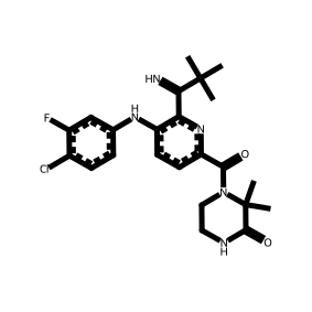 CC(C)(C)C(=N)c1nc(C(=O)N2CCNC(=O)C2(C)C)ccc1Nc1ccc(Cl)c(F)c1